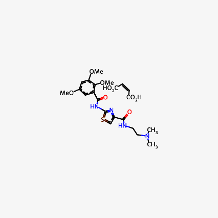 COc1cc(OC)c(OC)c(C(=O)Nc2nc(C(=O)NCCN(C)C)cs2)c1.O=C(O)/C=C\C(=O)O